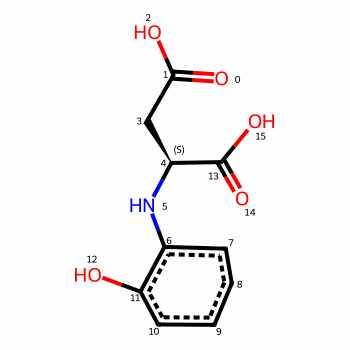 O=C(O)C[C@H](Nc1ccccc1O)C(=O)O